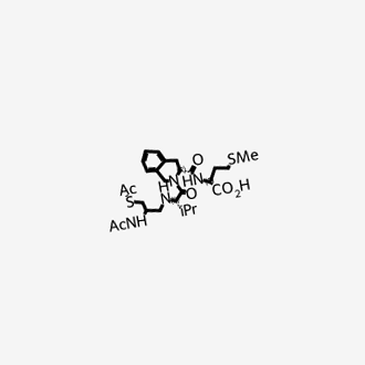 CSCC[C@H](NC(=O)[C@H]1Cc2ccccc2CN1C(=O)[C@@H](NCC(CSC(C)=O)NC(C)=O)C(C)C)C(=O)O